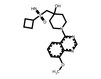 COc1cccc2c(N3CCC(O)(CS(=N)(=O)C4CCC4)CC3)ncnc12